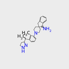 C=C(C1=NNCC1)c1cccc(N2CCC3(CC2)Cc2ccccc2[C@H]3N)c1C